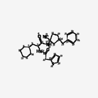 N#CC1(NC(=O)C(CC2CCCCC2)NC(=O)Cc2cccs2)CCN(Cc2ccccc2)C1